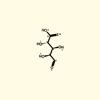 O=C[C@@H](O)[C@H](O)[C@H](O)C(O)=S